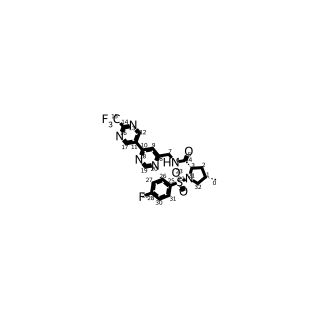 C[C@H]1C[C@@H](C(=O)NCc2cc(-c3cnc(C(F)(F)F)nc3)ncn2)N(S(=O)(=O)c2ccc(F)cc2)C1